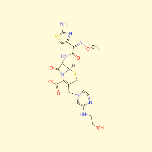 CO/N=C(\C(=O)NC1C(=O)N2C(C(=O)[O-])=C(C[n+]3ccnc(NCCO)c3)CS[C@H]12)c1csc(N)n1